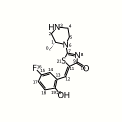 C[C@@H]1CNCCN1C1=NC(=O)/C(=C/c2cc(F)ccc2O)S1